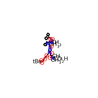 CC(C(=O)O)N(C)C(=O)CCC(=O)N(CCOCCOCCC(=O)OC(C)(C)C)C1CCN(C(=O)CCn2c(CN(C)N(C)C(=O)OCC3c4ccccc4-c4ccccc43)cc3ccccc32)CC1